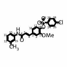 COc1cc(C=CC(=O)Nc2cccc(C)c2)ccc1OS(=O)(=O)c1ccc(Cl)cc1